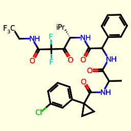 CC(NC(=O)C1(c2cccc(Cl)c2)CC1)C(=O)NC(C(=O)N[C@H](C(=O)C(F)(F)C(=O)NCC(F)(F)F)C(C)C)c1ccccc1